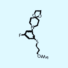 COCCCSc1cc(F)cc(N2CCC3(CC2)OCCO3)c1